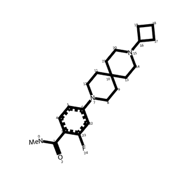 CNC(=O)c1ccc(N2CCC3(CC2)CCN(C2CCC2)CC3)cc1F